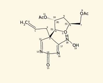 C=CCC1([C@@H]2O[C@H](COC(C)=O)C[C@H]2OC(C)=O)C=NC(=O)N=C1NO